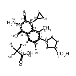 Cc1c(N2CCC(C(=O)O)C2)c(F)cc2c(=O)n(N)c(=O)n(C3CC3)c12.O=C(O)C(F)(F)F